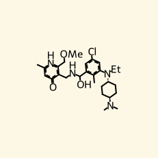 CCN(c1cc(Cl)cc(C(O)NCc2c(COC)[nH]c(C)cc2=O)c1C)[C@H]1CC[C@H](N(C)C)CC1